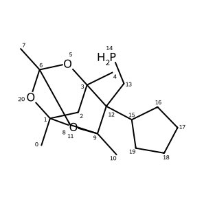 CC12CC3(C)OC(C)(CC(C)(O1)C3(CP)C1CCCC1)O2